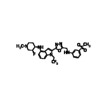 CN1CC[C@@H](Nc2cccc3c2cc(-c2nnc(CNc4cccc(S(C)(=O)=O)c4)o2)n3CC(F)(F)F)[C@@H](F)C1